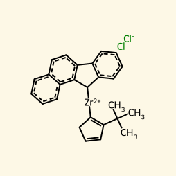 CC(C)(C)C1=[C]([Zr+2][CH]2c3ccccc3-c3ccc4ccccc4c32)CC=C1.[Cl-].[Cl-]